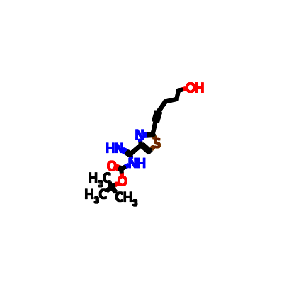 CC(C)(C)OC(=O)NC(=N)c1csc(C#CCCCO)n1